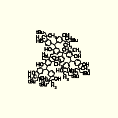 Cc1cc(C(C)(C)c2cccc(C(C)(c3cc(C)c(O)c(C(c4ccc(O)c(C(C)(C)CC(C)(C)C)c4)c4ccc(O)c(C(C)(C)CC(C)(C)C)c4)c3)c3cc(C)c(O)c(C(c4ccc(O)c(C(C)(C)CC(C)(C)C)c4)c4ccc(O)c(C(C)(C)CC(C)(C)C)c4)c3)c2)cc(C(c2ccc(O)c(C(C)(C)CC(C)(C)C)c2)c2ccc(O)c(C(C)(C)CC(C)(C)C)c2)c1O